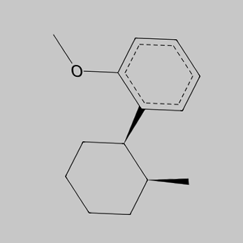 COc1ccccc1[C@@H]1CCCC[C@@H]1C